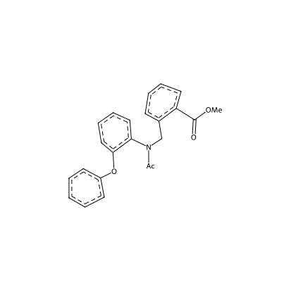 COC(=O)c1ccccc1CN(C(C)=O)c1ccccc1Oc1ccccc1